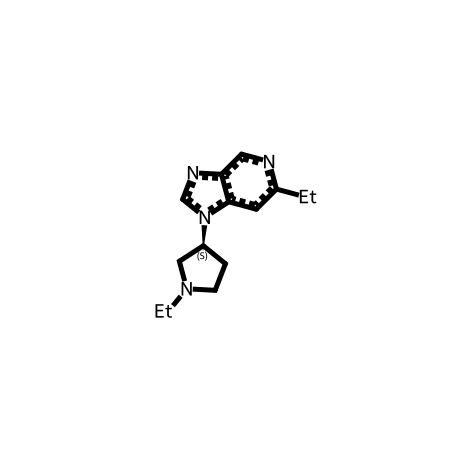 CCc1cc2c(cn1)ncn2[C@H]1CCN(CC)C1